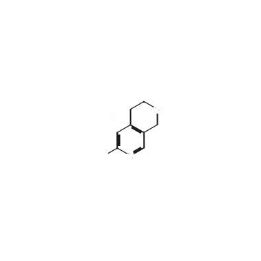 Br.Oc1cc2c(cn1)CNCC2